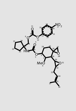 COC1C(OC(=O)NC2(COC(=O)Oc3ccc([N+](=O)[O-])cc3)CCCC2)CCC2(CO2)C1C1OC1CC=C(C)C